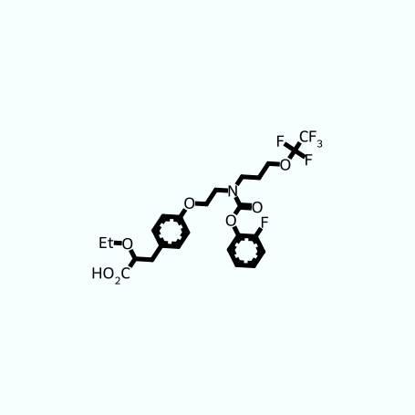 CCOC(Cc1ccc(OCCN(CCCOC(F)(F)C(F)(F)F)C(=O)Oc2ccccc2F)cc1)C(=O)O